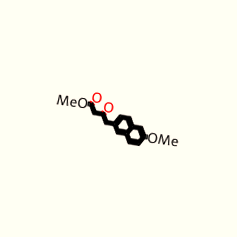 COC(=O)CC(=O)Cc1ccc2cc(OC)ccc2c1